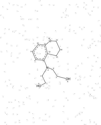 OCCN(CCO)c1cccc2c1CCCO2